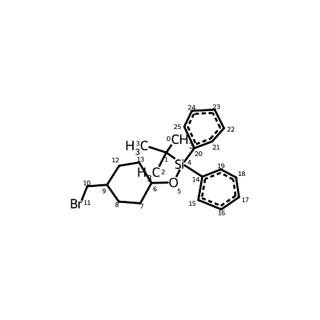 CC(C)(C)[Si](OC1CCC(CBr)CC1)(c1ccccc1)c1ccccc1